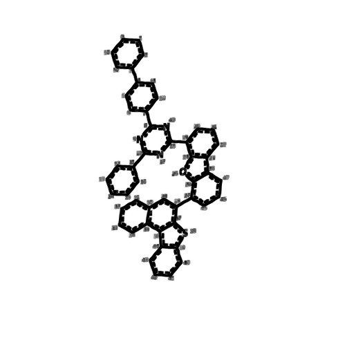 c1ccc(-c2ccc(-c3nc(-c4ccccc4)nc(-c4cccc5c4oc4c(-c6cc7ccccc7c7c6sc6ccccc67)cccc45)n3)cc2)cc1